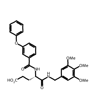 COc1cc(CNC(=O)[C@H](CCC(=O)O)NC(=O)c2cccc(Oc3ccccc3)c2)cc(OC)c1OC